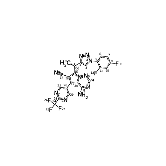 C[C@@H](c1cn(-c2ccc(F)cc2F)nn1)c1c(C#N)c(-c2cnc(C(F)(F)F)nc2)c2c(N)ncnn12